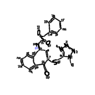 Cn1nnnc1SC1=C/C(=N\S(=O)(=O)c2ccccc2)c2ccccc2C1=O